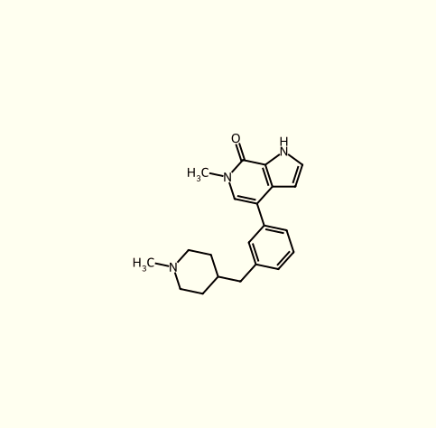 CN1CCC(Cc2cccc(-c3cn(C)c(=O)c4[nH]ccc34)c2)CC1